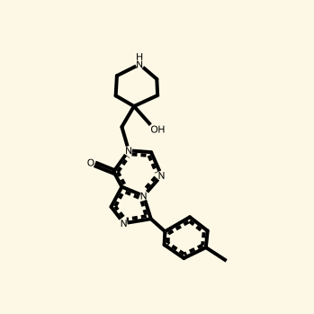 Cc1ccc(-c2ncc3c(=O)n(CC4(O)CCNCC4)cnn23)cc1